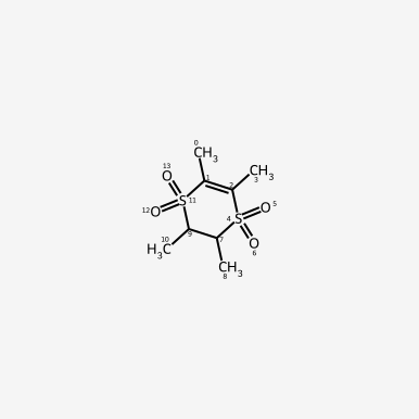 CC1=C(C)S(=O)(=O)C(C)C(C)S1(=O)=O